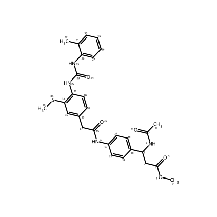 COC(=O)CC(NC(C)=O)c1ccc(NC(=O)Cc2ccc(NC(=O)Nc3ccccc3C)c(SC)c2)cc1